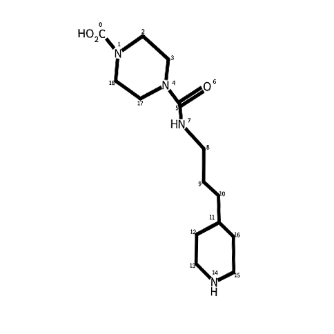 O=C(O)N1CCN(C(=O)NCCCC2CCNCC2)CC1